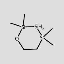 C[Si]1(C)CCO[Si](C)(C)[SiH2]1